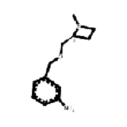 CN1CC[C@H]1COCc1cccc(N)c1